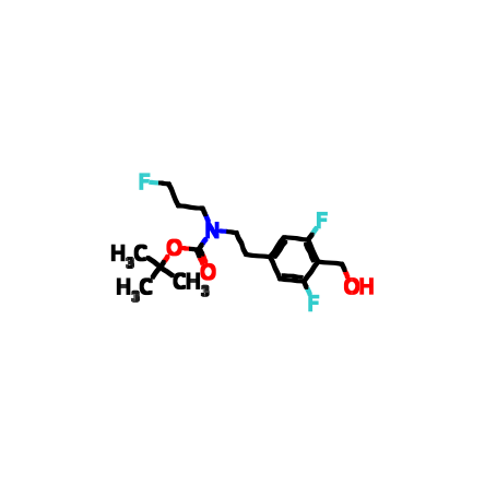 CC(C)(C)OC(=O)N(CCCF)CCc1cc(F)c(CO)c(F)c1